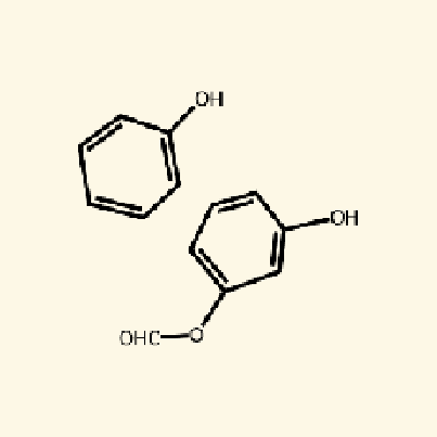 O=COc1cccc(O)c1.Oc1ccccc1